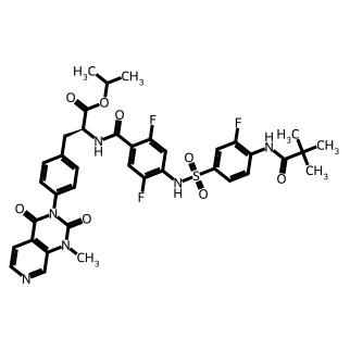 CC(C)OC(=O)[C@H](Cc1ccc(-n2c(=O)c3ccncc3n(C)c2=O)cc1)NC(=O)c1cc(F)c(NS(=O)(=O)c2ccc(NC(=O)C(C)(C)C)c(F)c2)cc1F